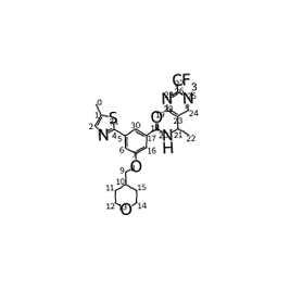 Cc1cnc(-c2cc(OCC3CCOCC3)cc(C(=O)NC(C)c3cnc(C(F)(F)F)nc3)c2)s1